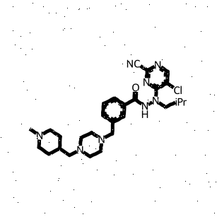 CC(C)CN(NC(=O)c1cccc(CN2CCN(CC3CCN(C)CC3)CC2)c1)c1nc(C#N)ncc1Cl